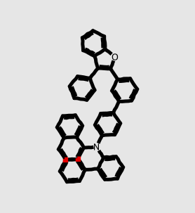 c1ccc(-c2ccccc2N(c2ccc(-c3cccc(-c4oc5ccccc5c4-c4ccccc4)c3)cc2)c2cccc3ccccc23)cc1